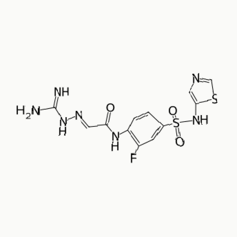 N=C(N)N/N=C/C(=O)Nc1ccc(S(=O)(=O)Nc2cncs2)cc1F